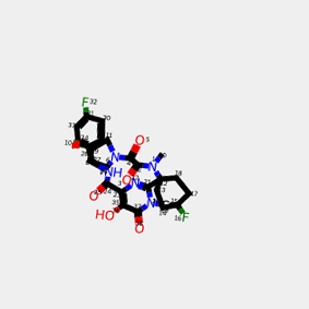 CN(C(=O)C(=O)N1CC[C@@H](F)C1)C12CCC(F)(CC1)Cn1c2nc(C(=O)NCc2ccc(F)cc2)c(O)c1=O